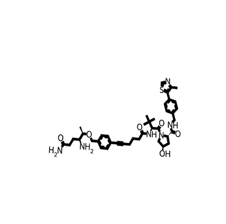 Cc1ncsc1-c1ccc(CNC(=O)[C@@H]2C[C@@H](O)CN2C(=O)[C@@H](NC(=O)CCCC#Cc2ccc(CO[C@H](C)[C@@H](N)CCC(N)=O)cc2)C(C)(C)C)cc1